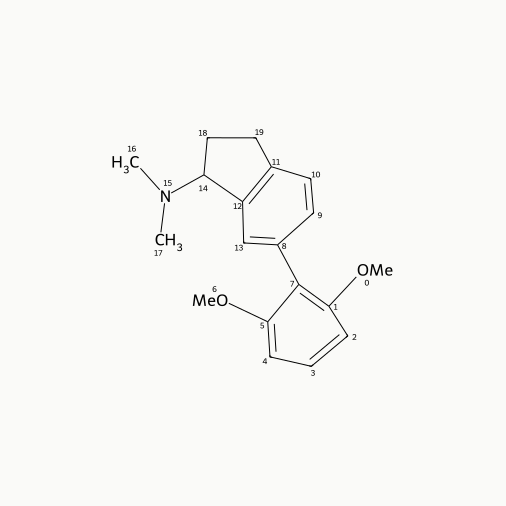 COc1cccc(OC)c1-c1ccc2c(c1)C(N(C)C)CC2